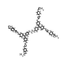 C=Cc1ccc(COCCc2ccc(N(c3ccc(CCCCc4ccc(N(c5ccc(CCOCc6ccc(C=C)cc6)cc5)c5ccc(CCOCc6ccc(C=C)cc6)cc5)cc4)cc3)c3ccc(CCOCc4ccc(C=C)cc4)cc3)cc2)cc1